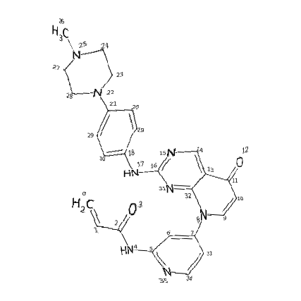 C=CC(=O)Nc1cc(-n2ccc(=O)c3cnc(Nc4ccc(N5CCN(C)CC5)cc4)nc32)ccn1